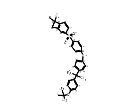 CCC(C)(CC)Oc1ccc(C(c2ccc(Oc3ccc(S(=O)(=O)c4ccc5c(c4)CC5(C)CC)cc3)cc2)(C(F)(F)F)C(F)(F)F)cc1